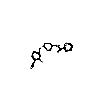 N#Cc1ccc(O[C@H]2CC[C@H](NC(=O)c3cnccn3)CC2)cc1Cl